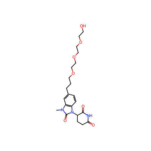 Cn1c(=O)n(C2CCC(=O)NC2=O)c2ccc(CCCOCCOCCOCCO)cc21